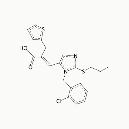 CCCSc1ncc(/C=C(\Cc2cccs2)C(=O)O)n1Cc1ccccc1Cl